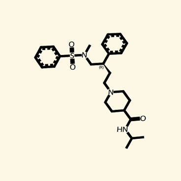 CC(C)NC(=O)C1CCN(CC[C@@H](CN(C)S(=O)(=O)c2ccccc2)c2ccccc2)CC1